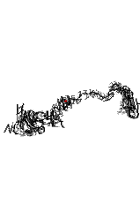 CCc1cc2c(cc1N1CCC(N3CCN(CCCCCCCCCSc4cccc5c4CN(C4CCC(=O)NC4=O)C5=O)CC3)CC1)C(C)(C)c1[nH]c3cc(C#N)ccc3c1C2=O